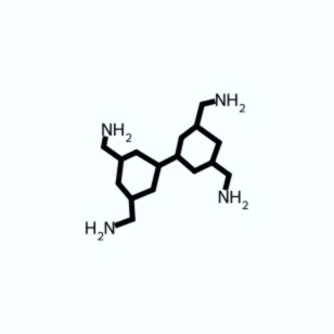 NCC1CC(CN)CC(C2CC(CN)CC(CN)C2)C1